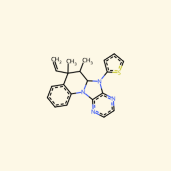 C=CC1(C)c2ccccc2N2c3nccnc3N(c3cccs3)C2C1C